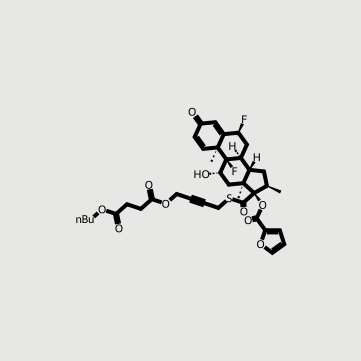 CCCCOC(=O)CCC(=O)OCC#CCSC(=O)[C@@]1(OC(=O)c2ccco2)[C@H](C)C[C@H]2[C@@H]3C[C@H](F)C4=CC(=O)C=C[C@]4(C)[C@@]3(F)[C@@H](O)C[C@@]21C